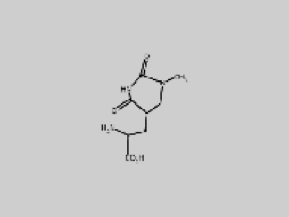 CN1C[C@@H](CC(N)C(=O)O)C(=O)NC1=O